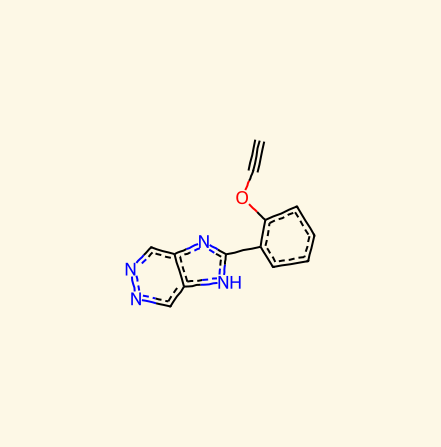 C#COc1ccccc1-c1nc2cnncc2[nH]1